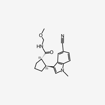 COCNC(=O)[C@H]1CCC[C@@H]1c1cn(C)c2ccc(C#N)cc12